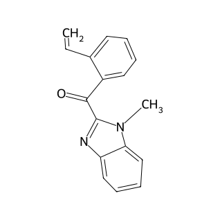 C=Cc1ccccc1C(=O)c1nc2ccccc2n1C